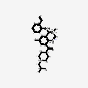 C=Cc1ccccc1NC(C)c1cc(C)cc(C(=C)C2CCN(CC(C)C)CC2)c1/N=C\NC